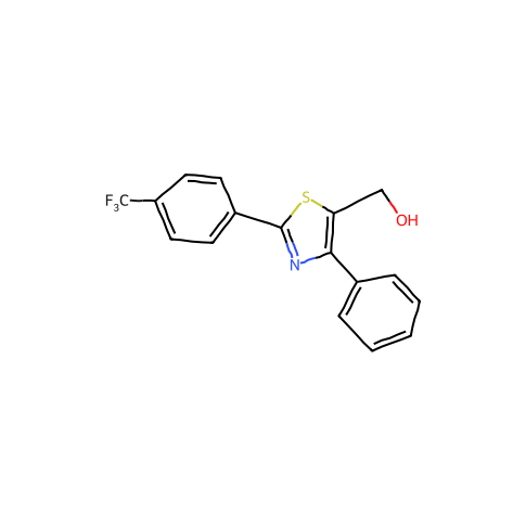 OCc1sc(-c2ccc(C(F)(F)F)cc2)nc1-c1ccccc1